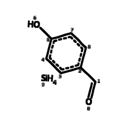 O=Cc1ccc(O)cc1.[SiH4]